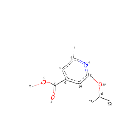 COC(=O)c1cc(C)nc(OC(C)C)c1